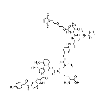 Cc1cccc2c(OC(=O)N(CCCC[C@H](N)C(=O)O)CCN(C)C(=O)OCc3ccc(NC(=O)[C@H](CCCNC(N)=O)NC(=O)[C@@H](NC(=O)OCCOCCN4C(=O)C=CC4=O)C(C)C)cc3)cc3c(c12)[C@H](CCl)CN3C(=O)c1cc2cc(NC(=O)c3ccc(O)cc3)cnc2[nH]1